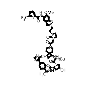 COc1cc2nn(CCN3CCN(CC(=O)N4CCC5(CC[C@H]5N[C@H](C(=O)N5C[C@H](O)C[C@H]5C(=O)N[C@@H](C)c5ccc(-c6scnc6C)cc5)C(C)(C)C)CC4)C3=O)cc2cc1NC(=O)c1cccc(C(F)(F)F)n1